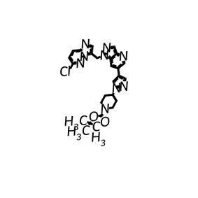 CC(C)(C)OC(=O)N1CCC(n2cc(-c3cnc4cnn(Cc5cnc6ccc(Cl)nn56)c4c3)cn2)CC1